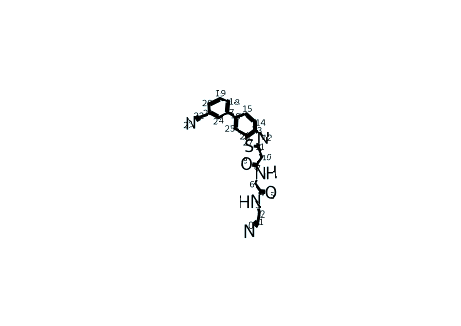 N#CCNC(=O)CNC(=O)Cc1nc2ccc(-c3cccc(C#N)c3)cc2s1